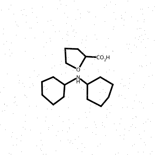 C1CCC(NC2CCCCC2)CC1.O=C(O)C1CCCO1